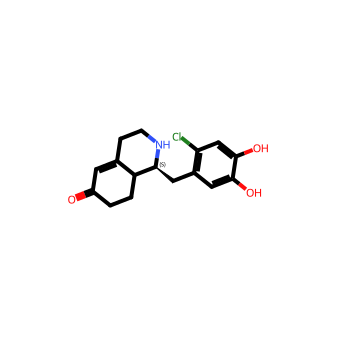 O=C1C=C2CCN[C@@H](Cc3cc(O)c(O)cc3Cl)C2CC1